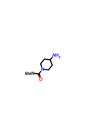 CNC(=O)N1CCC(N)CC1